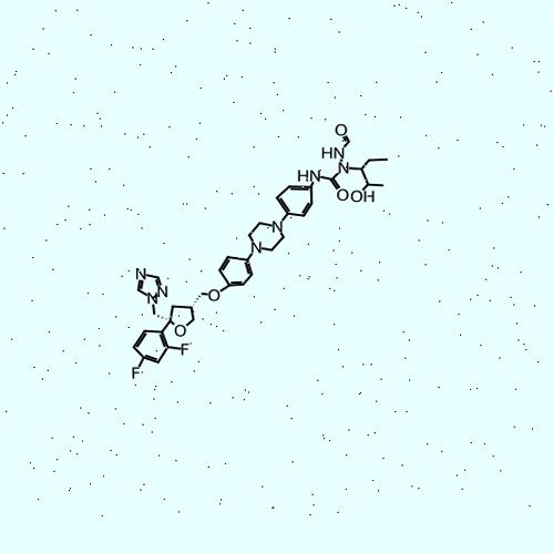 CCC(C(C)O)N(NC=O)C(=O)Nc1ccc(N2CCN(c3ccc(OC[C@@H]4CO[C@@](Cn5cncn5)(c5ccc(F)cc5F)C4)cc3)CC2)cc1